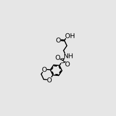 O=C(O)CCNS(=O)(=O)c1ccc2c(c1)OCCO2